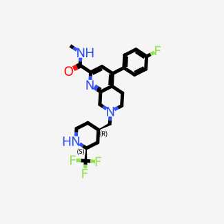 CNC(=O)c1cc(-c2ccc(F)cc2)c2c(n1)CN(C[C@@H]1CCN[C@H](C(F)(F)F)C1)CC2